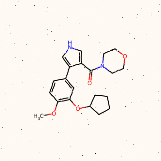 COc1ccc(-c2c[nH]cc2C(=O)N2CCOCC2)cc1OC1CCCC1